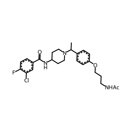 CC(=O)NCCCOc1ccc(C(C)N2CCC(NC(=O)c3ccc(F)c(Cl)c3)CC2)cc1